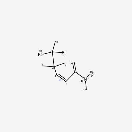 C=C(/C=C\C(C)(C)C(C)(CC)CC)N(C)CC